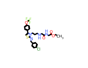 CCOC(=O)CNC(=O)CNCCCn1c(-c2ccc(OC(F)(F)F)cc2)cs/c1=N\Cc1ccc(Cl)cc1